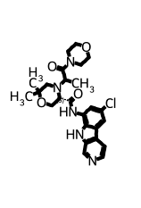 CC(C(=O)N1CCOCC1)N1CC(C)(C)OC[C@H]1C(=O)Nc1cc(Cl)cc2c1[nH]c1cnccc12